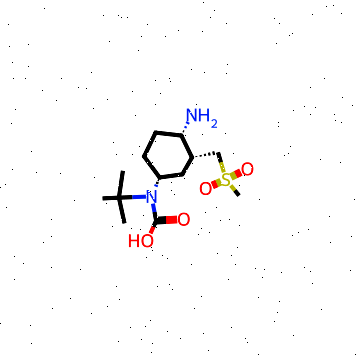 CC(C)(C)N(C(=O)O)[C@@H]1CC[C@H](N)[C@H](CS(C)(=O)=O)C1